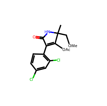 COCC1(C)NC(=O)C(c2ccc(Cl)cc2Cl)=C1OC(C)=O